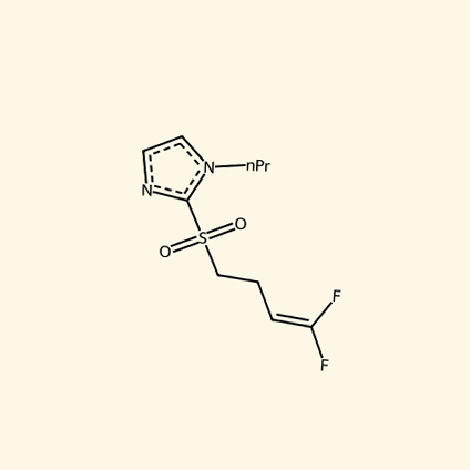 CCCn1ccnc1S(=O)(=O)CCC=C(F)F